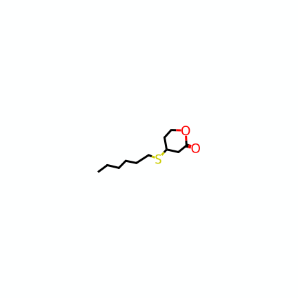 CCCCCCSC1CCOC(=O)C1